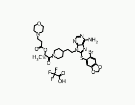 C[C@H](OC(=O)CCN1CCOCC1)C(=O)N1CCC(CCn2c(Sc3cc4c(cc3Br)OCO4)nc3c(N)ncnc32)CC1.O=C(O)C(F)(F)F